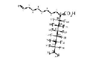 C=CCCCCCCCC(C(=O)O)C(F)(F)C(F)(F)C(F)(F)C(F)(F)C(F)(F)C(F)(F)C(C)F